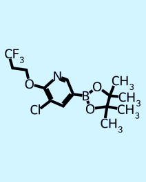 CC1(C)OB(c2cnc(OCCC(F)(F)F)c(Cl)c2)OC1(C)C